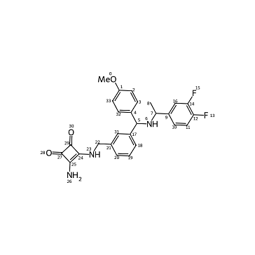 COc1ccc(C(NC(C)c2ccc(F)c(F)c2)c2cccc(CNc3c(N)c(=O)c3=O)c2)cc1